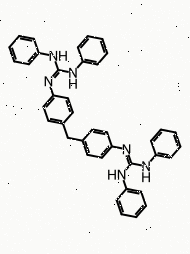 c1ccc(NC(=Nc2ccc(Cc3ccc(N=C(Nc4ccccc4)Nc4ccccc4)cc3)cc2)Nc2ccccc2)cc1